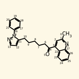 Cc1cc(C(=O)CCCCCc2ccnn2-c2ccccc2)c2ccccc2n1